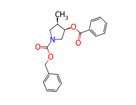 C[C@@H]1CN(C(=O)OCc2ccccc2)C[C@@H]1OC(=O)c1ccccc1